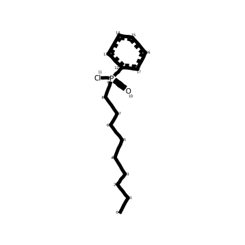 CCCCCCCCCP(=O)(Cl)c1ccccc1